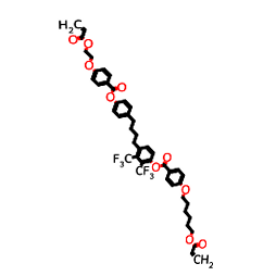 C=CC(=O)OCCCCCCOc1ccc(C(=O)Oc2ccc(CCCCc3ccc(OC(=O)c4ccc(OCCOC(=O)C=C)cc4)cc3)c(C(F)(F)F)c2C(F)(F)F)cc1